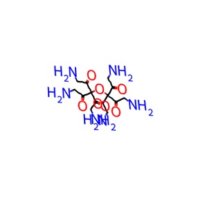 NCC(=O)C(OC(C(=O)CN)(C(=O)CN)C(=O)CN)(C(=O)CN)C(=O)CN